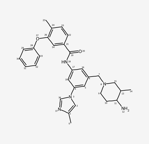 Cc1cn(-c2cc(CN3CCC(N)C(C)C3)cc(NC(=O)c3ccc(C)c(Oc4ccccc4)c3)c2)cn1